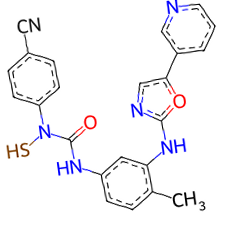 Cc1ccc(NC(=O)N(S)c2ccc(C#N)cc2)cc1Nc1ncc(-c2cccnc2)o1